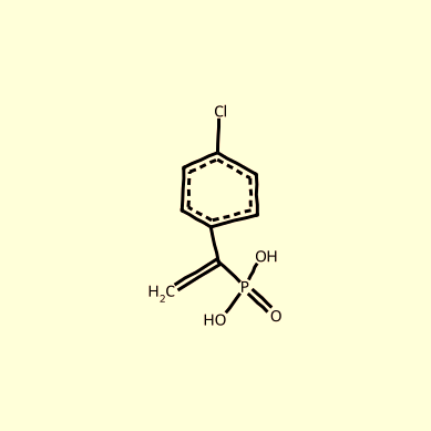 C=C(c1ccc(Cl)cc1)P(=O)(O)O